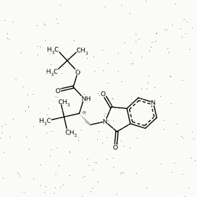 CC(C)(C)OC(=O)N[C@H](CN1C(=O)c2ccncc2C1=O)C(C)(C)C